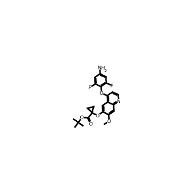 COc1cc2nccc(Oc3c(F)cc(N)cc3F)c2cc1OC1(C(=O)OC(C)(C)C)CC1